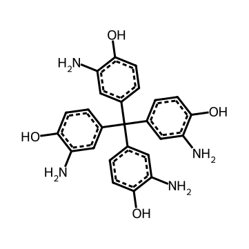 Nc1cc(C(c2ccc(O)c(N)c2)(c2ccc(O)c(N)c2)c2ccc(O)c(N)c2)ccc1O